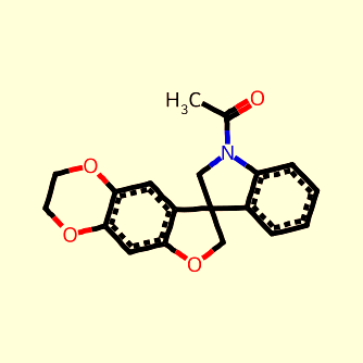 CC(=O)N1CC2(COc3cc4c(cc32)OCCO4)c2ccccc21